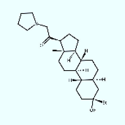 CC[C@@]1(O)CC[C@H]2[C@@H](CC[C@@H]3[C@@H]2CC[C@]2(C)[C@@H](C(=O)CN4CCCC4)CC[C@@H]32)C1